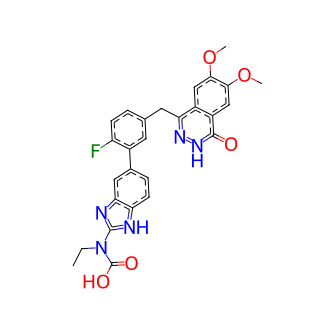 CCN(C(=O)O)c1nc2cc(-c3cc(Cc4n[nH]c(=O)c5cc(OC)c(OC)cc45)ccc3F)ccc2[nH]1